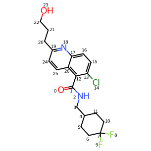 O=C(NCC1CCC(F)(F)CC1)c1c(Cl)ccc2nc(CCCO)ccc12